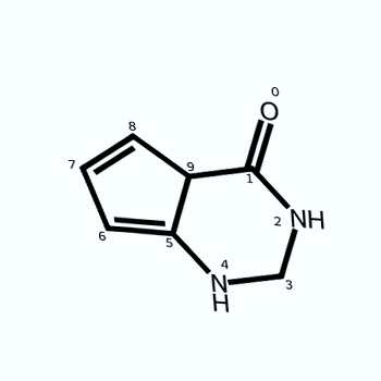 O=C1NCNC2=CC=CC12